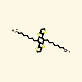 CCCCCCCCc1c2sc3ccsc3c2c(CCCCCCCC)c2sc3ccsc3c12